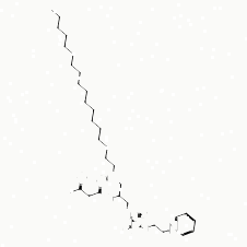 CCCCCCCCCCCCCCCCCCOCC(COP(=O)([O-])OCC[n+]1ccccc1)OC(=O)CC(C)=O